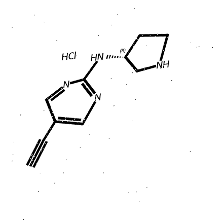 C#Cc1cnc(N[C@@H]2CCNC2)nc1.Cl